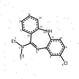 CCN(CC)C1=Nc2cc(Cl)ccc2Nc2ccccc21